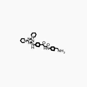 NCc1ccc(NC(=O)CC(=O)c2ccc(Nc3nc(N4CCCCC4)nc(N4CCCCC4)n3)cc2)cc1